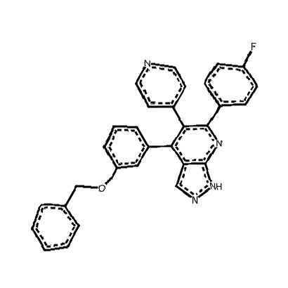 Fc1ccc(-c2nc3[nH]ncc3c(-c3cccc(OCc4ccccc4)c3)c2-c2ccncc2)cc1